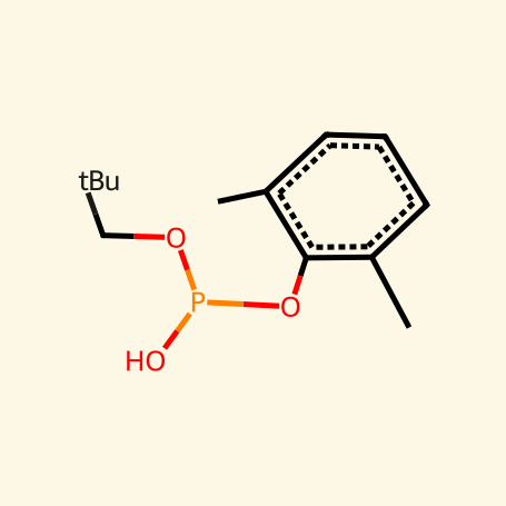 Cc1cccc(C)c1OP(O)OCC(C)(C)C